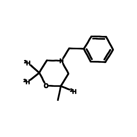 [2H]C1([2H])CN(Cc2ccccc2)CC([2H])(C)O1